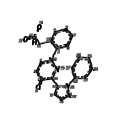 O=c1ccn(-c2ccccc2C[SH](=O)=O)nc1-c1ccnn1-c1ccccc1